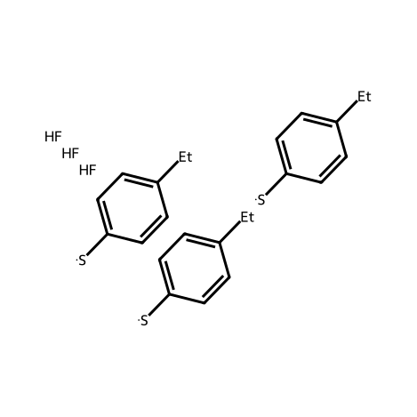 CCc1ccc([S])cc1.CCc1ccc([S])cc1.CCc1ccc([S])cc1.F.F.F